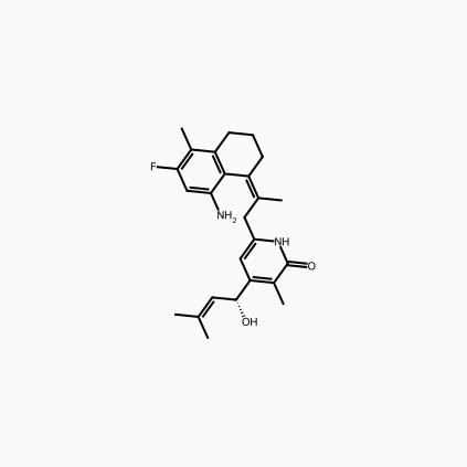 CC(C)=C[C@@H](O)c1cc(C/C(C)=C2/CCCc3c(C)c(F)cc(N)c32)[nH]c(=O)c1C